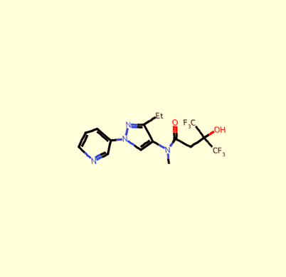 CCc1nn(-c2cccnc2)cc1N(C)C(=O)CC(O)(C(F)(F)F)C(F)(F)F